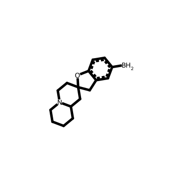 Bc1ccc2c(c1)CC1(CCN3CCCCC3C1)O2